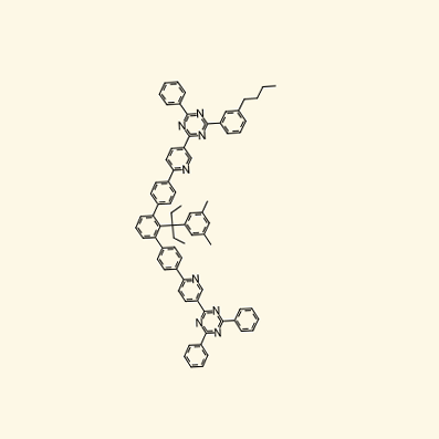 CCCCc1cccc(-c2nc(-c3ccccc3)nc(-c3ccc(-c4ccc(-c5cccc(-c6ccc(-c7ccc(-c8nc(-c9ccccc9)nc(-c9ccccc9)n8)cn7)cc6)c5C(CC)(CC)c5cc(C)cc(C)c5)cc4)nc3)n2)c1